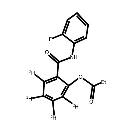 [2H]c1c([2H])c([2H])c(C(=O)Nc2ccccc2F)c(OC(=O)CC)c1[2H]